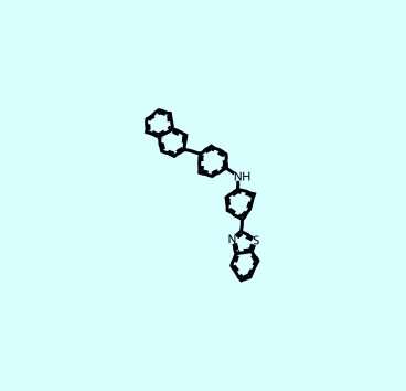 c1ccc2cc(-c3ccc(Nc4ccc(-c5nc6ccccc6s5)cc4)cc3)ccc2c1